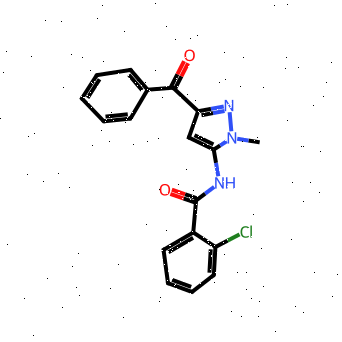 Cn1nc(C(=O)c2ccccc2)cc1NC(=O)c1ccccc1Cl